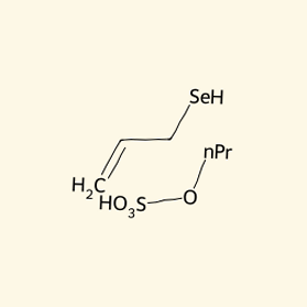 C=CC[SeH].CCCOS(=O)(=O)O